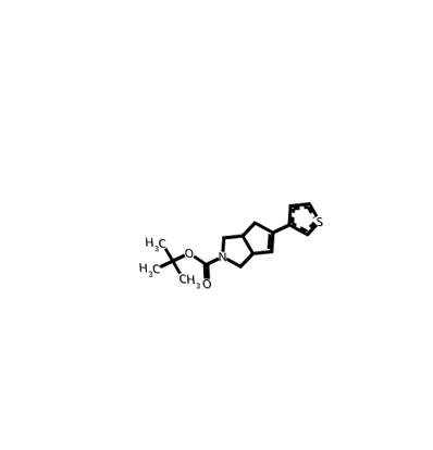 CC(C)(C)OC(=O)N1CC2C=C(c3ccsc3)CC2C1